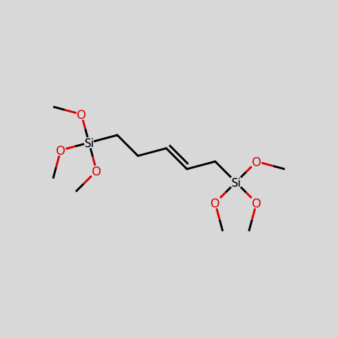 CO[Si](C/C=C/CC[Si](OC)(OC)OC)(OC)OC